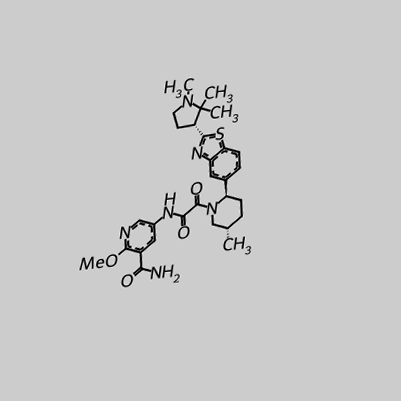 COc1ncc(NC(=O)C(=O)N2C[C@@H](C)CC[C@@H]2c2ccc3sc([C@@H]4CCN(C)C4(C)C)nc3c2)cc1C(N)=O